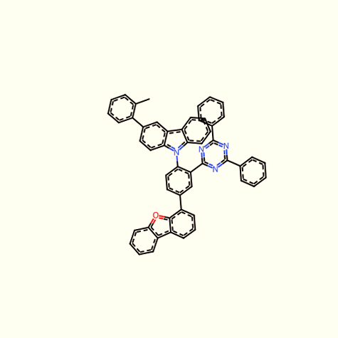 Cc1ccccc1-c1ccc2c(c1)c1ccccc1n2-c1ccc(-c2cccc3c2oc2ccccc23)cc1-c1nc(-c2ccccc2)nc(-c2ccccc2)n1